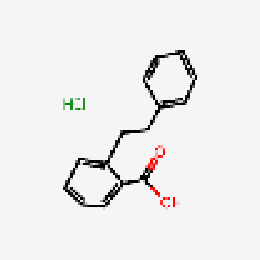 Cl.O=C(O)c1ccccc1CCc1ccccc1